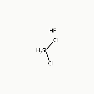 Cl[SiH2]Cl.F